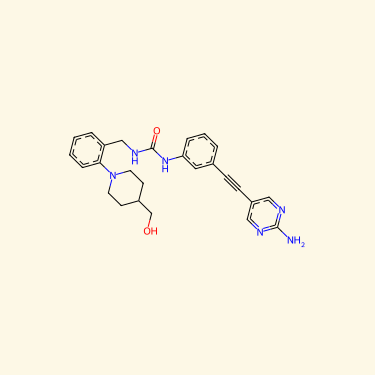 Nc1ncc(C#Cc2cccc(NC(=O)NCc3ccccc3N3CCC(CO)CC3)c2)cn1